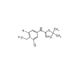 CCc1c(F)cc(NC(=O)OC(C)(C)C)cc1Cl